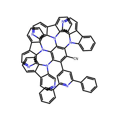 N#Cc1c(-c2cc(-c3ccccc3)nc(-c3ccccc3)c2)c(-n2c3ccccc3c3ccncc32)c(-n2c3ccccc3c3ccncc32)c(-n2c3ccccc3c3ccncc32)c1-n1c2ccccc2c2ccncc21